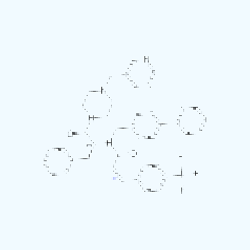 O=C([C@H](Cc1ccccc1)N(Cc1ccc(-c2ccccn2)cc1)C(=O)/C=C\c1ccc(C(F)(F)F)cc1)N1CCN(Cc2cncnc2)CC1